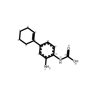 Nc1cc(C2=CCCCC2)ccc1NC(=O)O